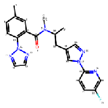 CCN(C(=O)c1cc(C)ccc1-n1nccn1)C(C)Cc1cnn(-c2ccc(F)cn2)c1